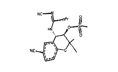 CCC/C(=N/C#N)N[C@H]1c2cc(C#N)ccc2OC(C)(C)[C@@H]1OS(C)(=O)=O